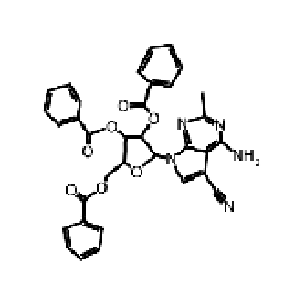 Cc1nc(N)c2c(C#N)cn(C3OC(COC(=O)c4ccccc4)C(OC(=O)c4ccccc4)C3OC(=O)c3ccccc3)c2n1